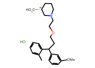 COc1cccc(C(CCOCCN2CCC[C@@H](C(=O)O)C2)c2ccccc2C)c1.Cl